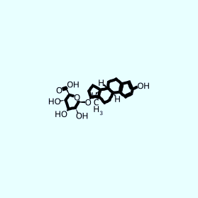 C[C@]12CC[C@@H]3c4ccc(O)cc4CC[C@H]3[C@@H]1CC[C@@H]2O[C@@H]1O[C@H](C(=O)O)[C@@H](O)[C@H](O)[C@H]1O